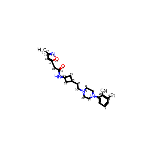 CCc1cccc(N2CCN(CCC3CC(NC(=O)Cc4cc(C)no4)C3)CC2)c1C#N